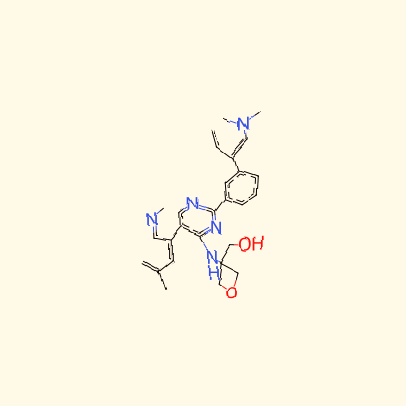 C=C/C(=C\N(C)C)c1cccc(-c2ncc(C(/C=N\C)=C/C(=C)C)c(NC3(CO)COC3)n2)c1